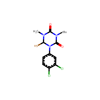 CN1C(=O)N(C(C)(C)C)C(=O)N(c2ccc(Cl)c(Cl)c2)C1S